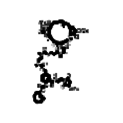 COc1cc2cc(c1Cl)N(C)C(=O)C[C@H](OC(=O)[C@H](C)N(C)C(=O)CCSC(=O)N(C)CCN(C)C(=O)OCc1ccc(NC(=O)OC3/C=C/CCCCC3)c(C(=O)NCCN3C(=O)CC(SC)C3=O)c1)[C@]1(C)OC1[C@H](C)[C@@H]1C[C@@](O)(NC(=O)O1)[C@H](OC)/C=C/C=C(\C)C2